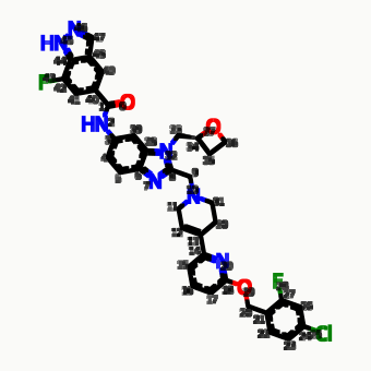 O=C(Nc1ccc2nc(CN3CC=C(c4cccc(OCc5ccc(Cl)cc5F)n4)CC3)n(C[C@@H]3CCO3)c2c1)c1cc(F)c2[nH]ncc2c1